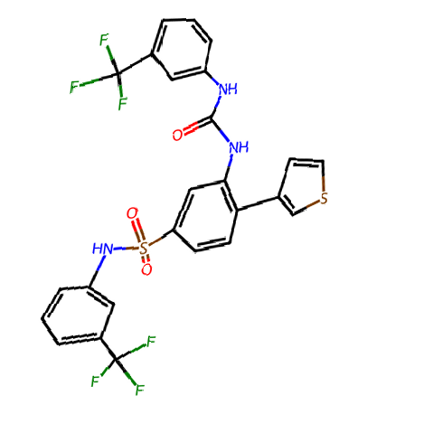 O=C(Nc1cccc(C(F)(F)F)c1)Nc1cc(S(=O)(=O)Nc2cccc(C(F)(F)F)c2)ccc1-c1ccsc1